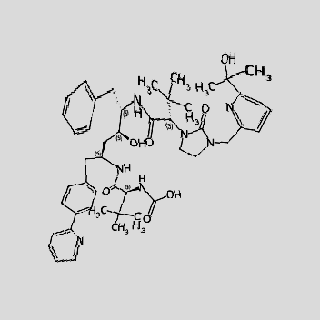 CC(C)(O)c1cccc(CN2CCN([C@H](C(=O)N[C@@H](Cc3ccccc3)[C@@H](O)C[C@H](Cc3ccc(-c4ccccn4)cc3)NC(=O)[C@@H](NC(=O)O)C(C)(C)C)C(C)(C)C)C2=O)n1